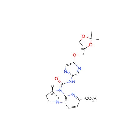 CC1(C)OC[C@@H](COc2cnc(NC(=O)N3c4nc(C(=O)O)ccc4N4CC[C@H]3C4)cn2)O1